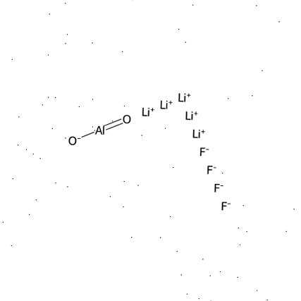 [F-].[F-].[F-].[F-].[Li+].[Li+].[Li+].[Li+].[Li+].[O]=[Al][O-]